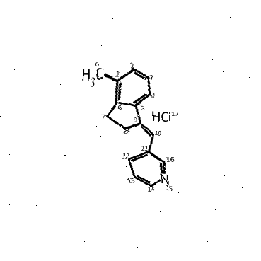 Cc1cccc2c1CCC2=Cc1cccnc1.Cl